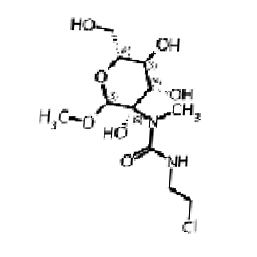 CO[C@H]1O[C@H](CO)[C@@H](O)[C@H](O)[C@@]1(O)N(C)C(=O)NCCCl